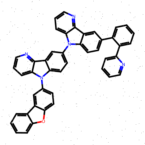 c1ccc(-c2ccccc2-c2ccc3c(c2)c2ncccc2n3-c2ccc3c(c2)c2ncccc2n3-c2ccc3oc4ccccc4c3c2)nc1